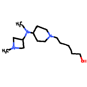 CN1CC(N(C)C2CCN(CCCCCO)CC2)C1